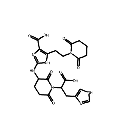 O=C(O)c1nc(NC2CCC(=O)N(C(Cc3c[nH]cn3)C(=O)O)C2=O)[nH]c1CCN1C(=O)CCCC1=O